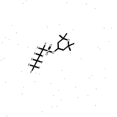 CC1(C)CC(OS(=O)(=O)C(F)(F)C(F)(F)C(F)(F)C(F)(F)F)CC(C)(C)O1